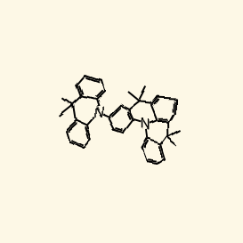 CC1(C)c2ccccc2N(c2ccc3c(c2)C(C)(C)c2cccc4c2N3c2ccccc2C4(C)C)c2ccccc21